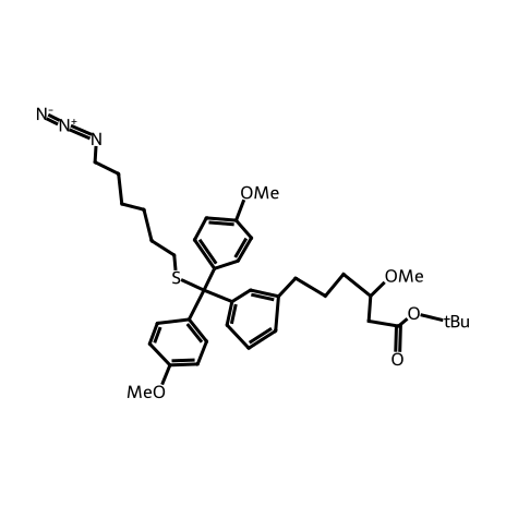 COc1ccc(C(SCCCCCCN=[N+]=[N-])(c2ccc(OC)cc2)c2cccc(CCCC(CC(=O)OC(C)(C)C)OC)c2)cc1